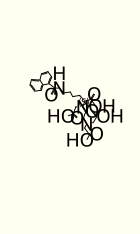 O=C(O)CN(CCN(CC(=O)O)[C@@H](CCCCNC(=O)c1cccc2ccccc12)C(=O)O)CC(=O)O